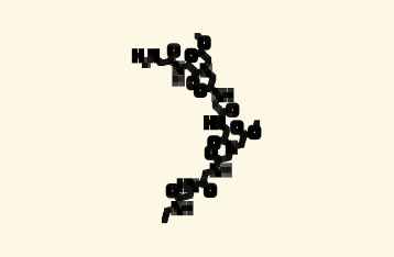 CCNC(=O)CNC(=O)CNC(=O)CN(CC(=O)OC)C(=O)CNC(=O)CNC(=O)CN(CC(=O)OC)C(=O)CNC(=O)CN